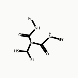 CCC(S)N(C(=O)NC(C)C)C(=O)NC(C)C